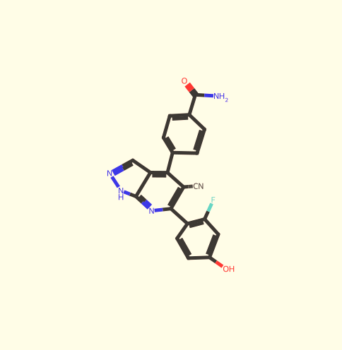 N#Cc1c(-c2ccc(O)cc2F)nc2[nH]ncc2c1-c1ccc(C(N)=O)cc1